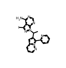 CC(c1cc2cccnn2c1-c1ccccn1)n1nc(I)c2c(N)ncnc21